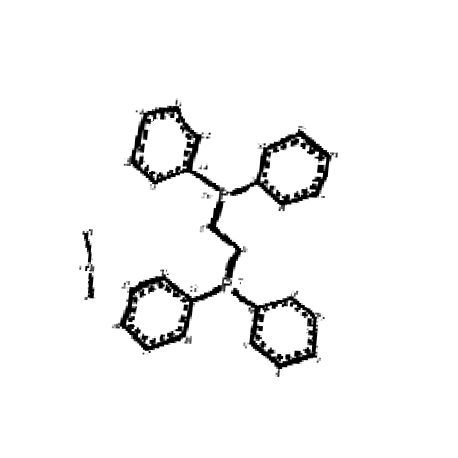 [CH3][Ni][CH3].c1ccc(P(CCP(c2ccccc2)c2ccccc2)c2ccccc2)cc1